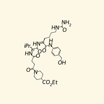 CCOC(=O)C1CCN(C(=O)CCC(=O)N[C@H](C(=O)N[C@@H](CCCCNC(N)=O)C(=O)Nc2ccc(CO)cc2)C(C)C)CC1